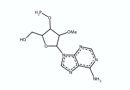 COC1C(OP)C(CO)OC1n1cnc2c(N)ncnc21